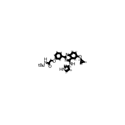 CC(C)(C)NC(=O)COc1cccc(-c2nc(Nc3cc[nH]n3)c3cc(OC4CC4)ccc3n2)c1